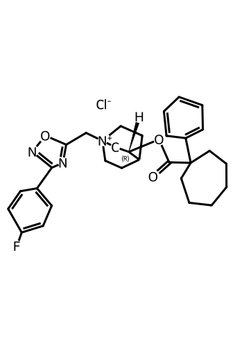 O=C(O[C@H]1C[N+]2(Cc3nc(-c4ccc(F)cc4)no3)CCC1CC2)C1(c2ccccc2)CCCCCC1.[Cl-]